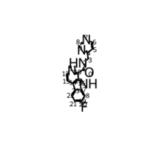 O=C(NCc1ccncn1)c1nccc2c1[nH]c1cc(F)ccc12